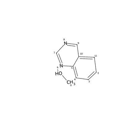 CO.c1ccc2ncncc2c1